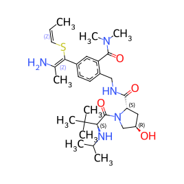 C/C=C\S/C(=C(/C)N)c1ccc(CNC(=O)[C@@H]2C[C@@H](O)CN2C(=O)[C@@H](NC(C)C)C(C)(C)C)c(C(=O)N(C)C)c1